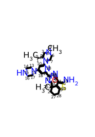 CC[C@H]1CN(C)CCN1c1cc(N2CCNCC2)cc(-c2noc(C3(C)CCCc4sc(N)c(C#N)c43)n2)n1